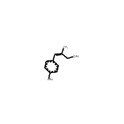 CCCCc1ccc(C=C(C)COC(C)=O)cc1